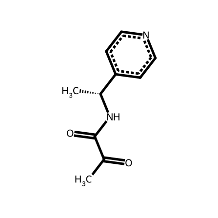 CC(=O)C(=O)N[C@H](C)c1ccncc1